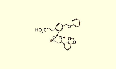 CC(C)CC(NC(=O)c1cc(COc2ccccc2)ccc1CCC(=O)O)c1cccc2c1OCO2